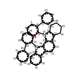 c1ccc(-c2ccccc2-n2c3c(c4ccc5c6ccccc6n(-c6ccccc6-c6ccccc6)c5c42)CCCC3)cc1